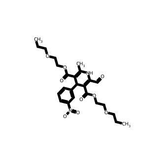 CCCOCCOC(=O)C1=C(C)NC(C=O)=C(C(=O)OCCOCCC)C1c1cccc([N+](=O)[O-])c1